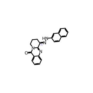 O=c1c2ccccc2nc2n1CCC/C2=N\Nc1ccc2ccccc2c1